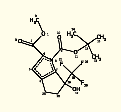 COC(=O)c1cc2c(n1C(=O)OC(C)(C)C)C(O)(C(F)(F)F)CC2